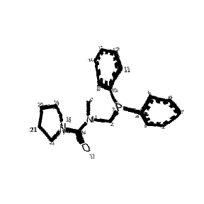 CN(CP(c1ccccc1)c1ccccc1)C(=O)N1CCCC1